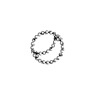 O=C1COCCOCC(=O)N2CCOCCOCCOCCOCCN1CCOCCOCC2